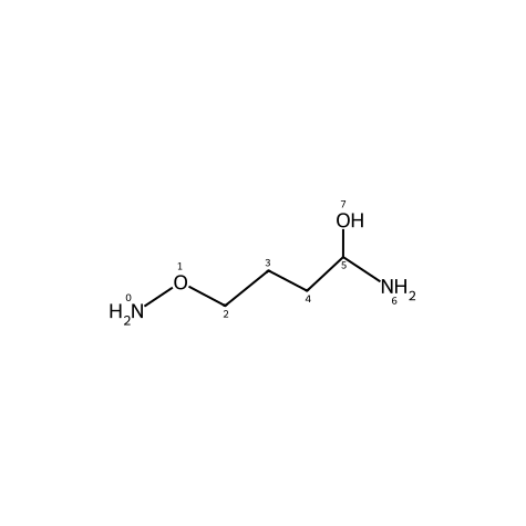 NOCCCC(N)O